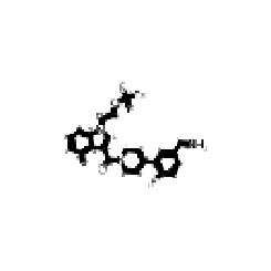 NCc1ccc(F)c(C2CCN(C(=O)c3cn(CCOC(F)(F)F)c4cccc(F)c34)CC2)c1